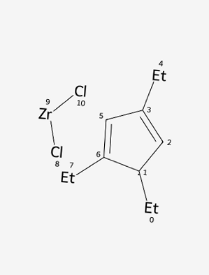 CC[C]1C=C(CC)C=C1CC.[Cl][Zr][Cl]